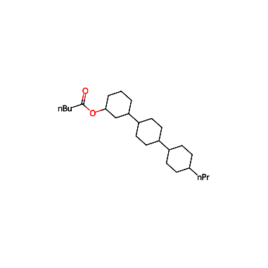 CCCCC(=O)OC1CCCC(C2CCC(C3CCC(CCC)CC3)CC2)C1